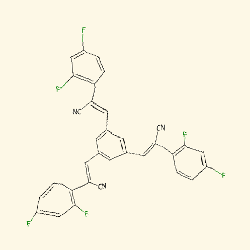 N#C/C(=C\c1cc(/C=C(\C#N)c2ccc(F)cc2F)cc(/C=C(\C#N)c2ccc(F)cc2F)c1)c1ccc(F)cc1F